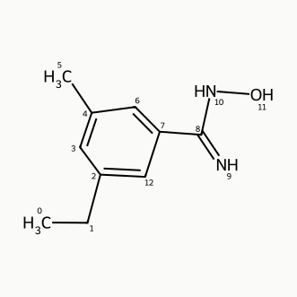 CCc1cc(C)cc(C(=N)NO)c1